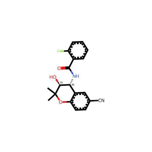 CC1(C)Oc2ccc(C#N)cc2[C@@H](NC(=O)c2ccccc2F)[C@@H]1O